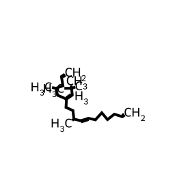 C=CCCCCC=CC(C)CCC(=CC(C)(C)C)CC(C)CC=C